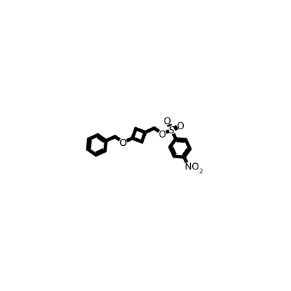 O=[N+]([O-])c1ccc(S(=O)(=O)OCC2CC(OCc3ccccc3)C2)cc1